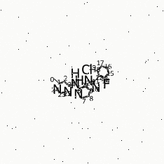 Cc1cc(Nc2nccc3nc(-c4c(F)cccc4Cl)[nH]c23)ncn1